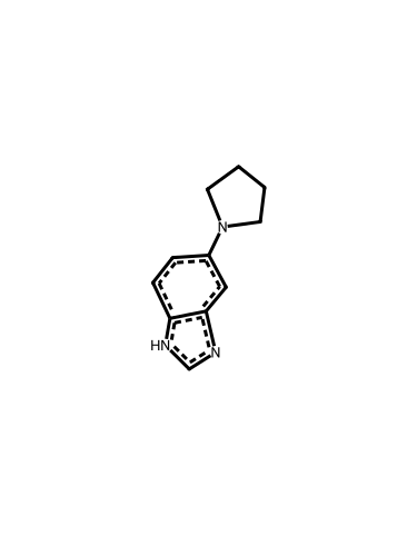 c1nc2cc(N3CCCC3)ccc2[nH]1